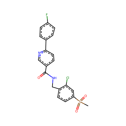 CS(=O)(=O)c1ccc(CNC(=O)c2ccc(-c3ccc(F)cc3)nc2)c(Cl)c1